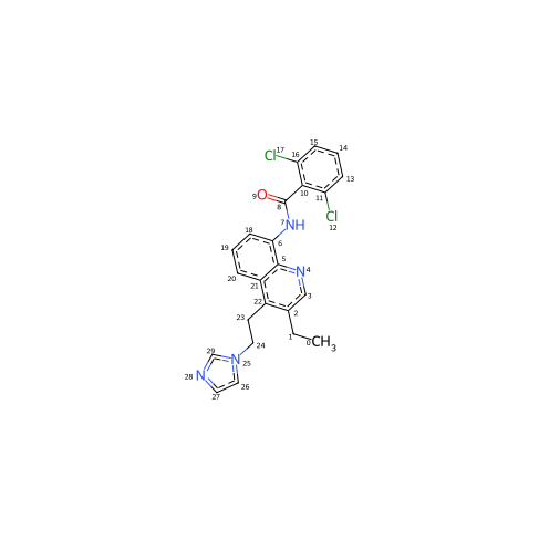 CCc1cnc2c(NC(=O)c3c(Cl)cccc3Cl)cccc2c1CCn1ccnc1